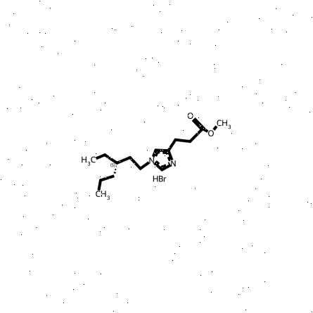 Br.CCC[C@H](CC)CCn1cnc(CCC(=O)OC)c1